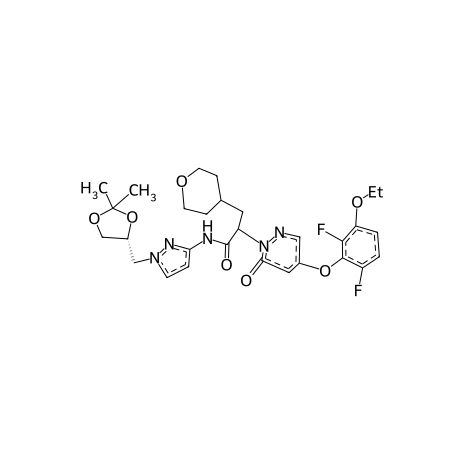 CCOc1ccc(F)c(Oc2cnn(C(CC3CCOCC3)C(=O)Nc3ccn(C[C@@H]4COC(C)(C)O4)n3)c(=O)c2)c1F